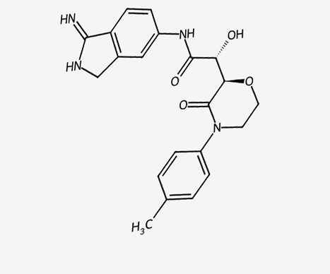 Cc1ccc(N2CCO[C@H]([C@@H](O)C(=O)Nc3ccc4c(c3)CNC4=N)C2=O)cc1